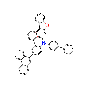 c1ccc(-c2ccc(N(c3ccc4c(c3)oc3ccccc34)c3ccc(-c4cc5ccccc5c5ccccc45)cc3-c3ccccc3)cc2)cc1